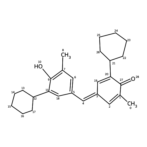 CC1=CC(=Cc2cc(C)c(O)c(C3CCCCC3)c2)C=C(C2CCCCC2)C1=O